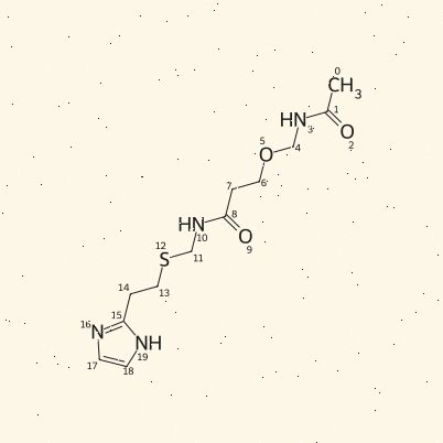 CC(=O)NCOCCC(=O)NCSCCc1ncc[nH]1